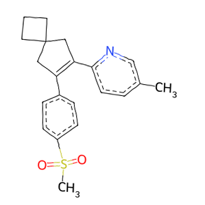 Cc1ccc(C2=C(c3ccc(S(C)(=O)=O)cc3)CC3(CCC3)C2)nc1